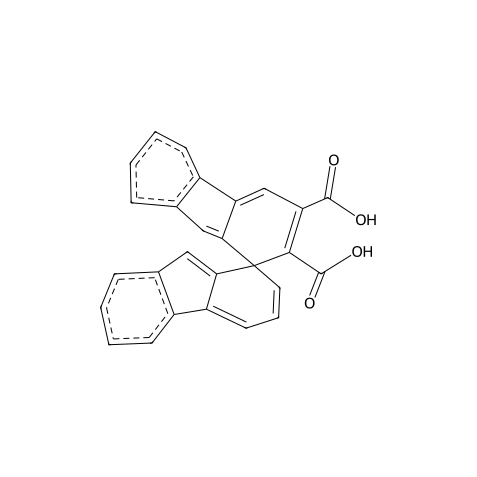 O=C(O)C1=C(C(=O)O)C2(C=CC=C3C2=Cc2ccccc23)C2=Cc3ccccc3C2=C1